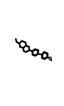 CCC1CCC2CC(c3ccc(-c4ccc(OC)cc4)cc3)CCC2C1